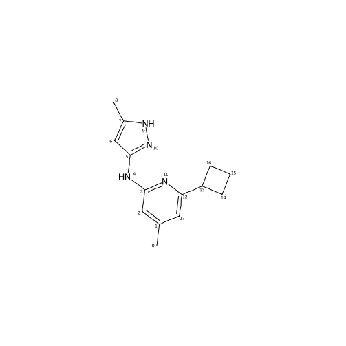 Cc1cc(Nc2cc(C)[nH]n2)nc(C2CCC2)c1